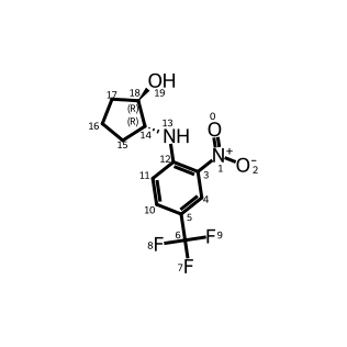 O=[N+]([O-])c1cc(C(F)(F)F)ccc1N[C@@H]1CCC[C@H]1O